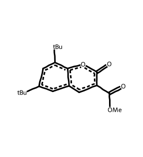 COC(=O)c1cc2cc(C(C)(C)C)cc(C(C)(C)C)c2oc1=O